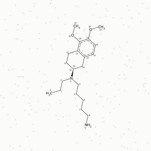 CCCN(CCCCCN)[C@H]1CCc2c(ccc(OC)c2OC)C1